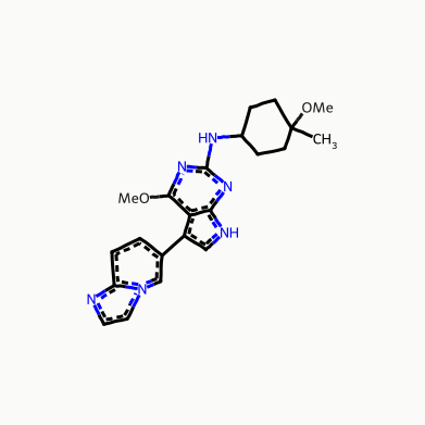 COc1nc(NC2CCC(C)(OC)CC2)nc2[nH]cc(-c3ccc4nccn4c3)c12